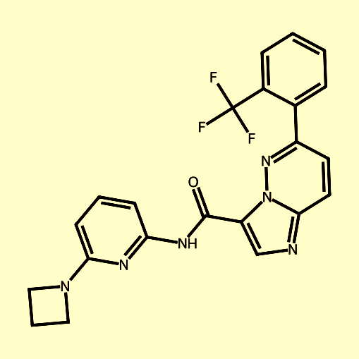 O=C(Nc1cccc(N2CCC2)n1)c1cnc2ccc(-c3ccccc3C(F)(F)F)nn12